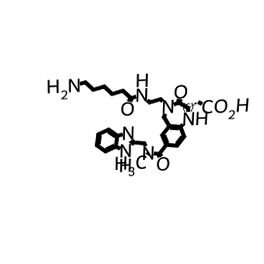 CN(Cc1nc2ccccc2[nH]1)C(=O)c1ccc2c(c1)CN(CCNC(=O)CCCCCN)C(=O)[C@H](CC(=O)O)N2